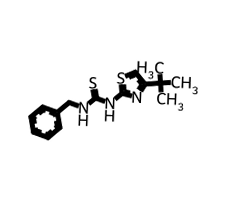 CC(C)(C)c1csc(NC(=S)NCc2ccccc2)n1